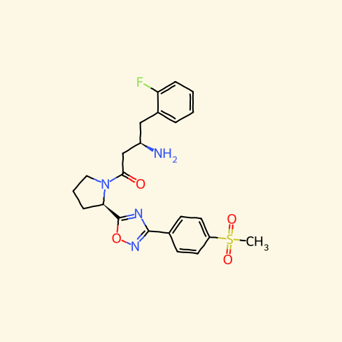 CS(=O)(=O)c1ccc(-c2noc([C@H]3CCCN3C(=O)C[C@H](N)Cc3ccccc3F)n2)cc1